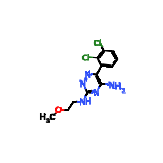 COCCNc1nnc(-c2cccc(Cl)c2Cl)c(N)n1